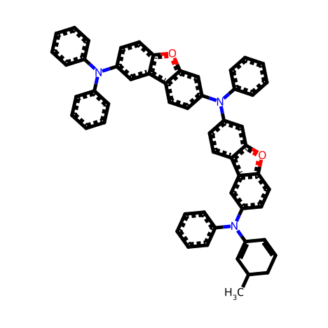 CC1C=C(N(c2ccccc2)c2ccc3oc4cc(N(c5ccccc5)c5ccc6c(c5)oc5ccc(N(c7ccccc7)c7ccccc7)cc56)ccc4c3c2)C=CC1